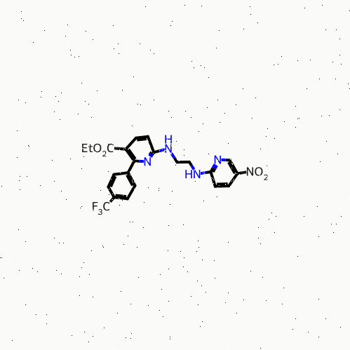 CCOC(=O)c1ccc(NCCNc2ccc([N+](=O)[O-])cn2)nc1-c1ccc(C(F)(F)F)cc1